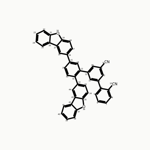 N#Cc1cc(-c2ccccc2C#N)cc(-c2cc(-c3ccc4oc5ccccc5c4c3)ccc2-c2ccc3oc4ccccc4c3c2)c1